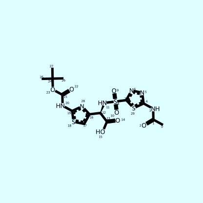 CC(=O)Nc1nnc(S(=O)(=O)N[C@@H](C(=O)O)c2csc(NC(=O)OC(C)(C)C)n2)s1